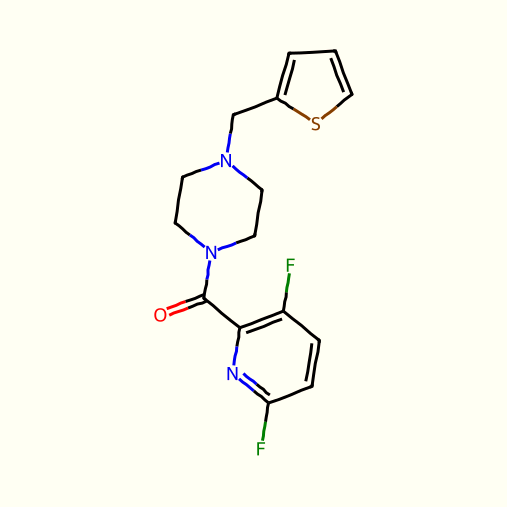 O=C(c1nc(F)ccc1F)N1CCN(Cc2cccs2)CC1